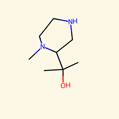 CN1CCNCC1C(C)(C)O